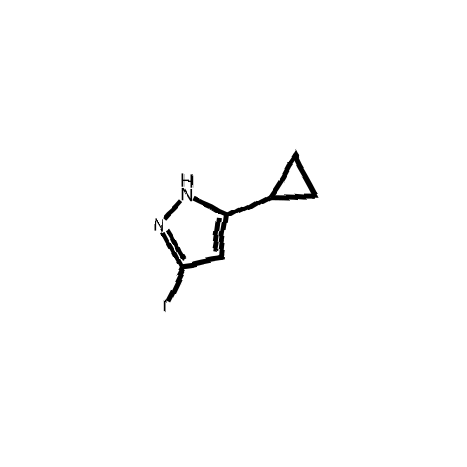 Ic1cc(C2CC2)[nH]n1